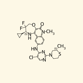 C[C@H]1CN(c2ncc(Cl)c(Nc3ccc4c(c3)c3c(c(=O)n4C)OCC(F)(F)[C@H](C4CC4)N3)n2)CCS1